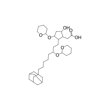 O=C(O)CC1C(O)CC(OC2CCCCO2)C1CCC(CCCCCC12CC3CC(CC(C3)C1)C2)OC1CCCCO1